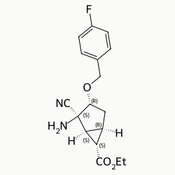 CCOC(=O)[C@H]1[C@@H]2C[C@@H](OCc3ccc(F)cc3)[C@@](N)(C#N)[C@@H]21